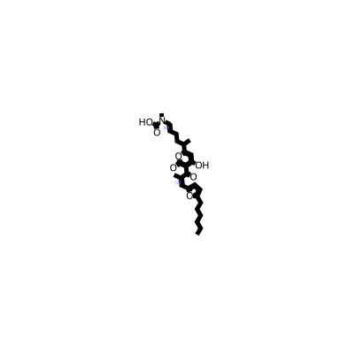 CCCCCCc1ccc(/C=C(/C)C(=O)c2c(O)cc(C(C)CC/C=C/N(C)C(=O)O)oc2=O)o1